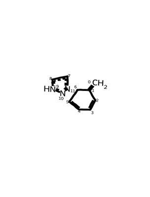 C=C1C=CC=CC1.c1c[nH]nn1